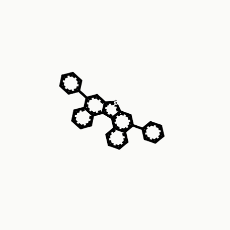 c1ccc(-c2cc3sc4cc(-c5ccccc5)c5ccccc5c4c3c3ccccc23)cc1